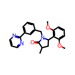 COc1cccc(OC)c1C1CC(C)C(=O)N1Cc1cccc(-c2ncccn2)c1